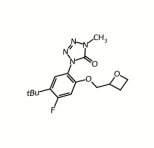 Cn1nnn(-c2cc(C(C)(C)C)c(F)cc2OCC2CCO2)c1=O